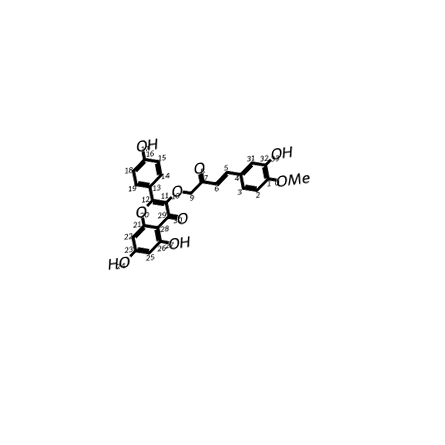 COc1ccc(/C=C/C(=O)COc2c(-c3ccc(O)cc3)oc3cc(O)cc(O)c3c2=O)cc1O